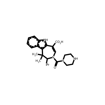 CC(C)C1N(C(=O)N2CCNCC2)C=C(C(=O)O)c2[nH]c3ccccc3c2C1(C)C